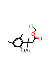 CC(=O)Oc1cc(C)cc(C)c1C(C)(C)CC(=O)OCCl